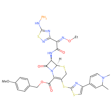 CCO/N=C(\C(=O)N[C@@H]1C(=O)N2C(C(=O)OCc3ccc(OC)cc3)=C(Sc3nc(C4=CC(C)N(C)C=C4)cs3)CS[C@H]12)c1nsc(NP)n1